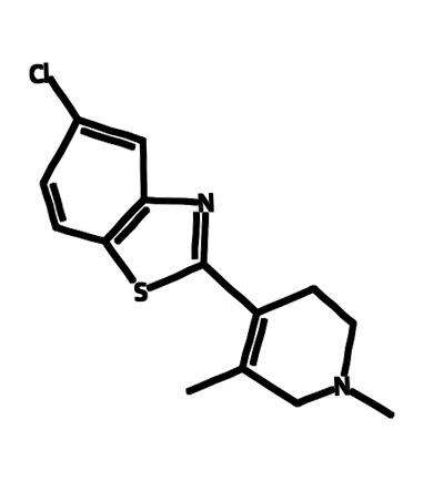 CC1=C(c2nc3cc(Cl)ccc3s2)CCN(C)C1